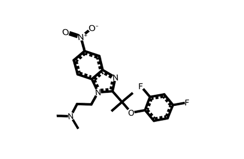 CN(C)CCn1c(C(C)(C)Oc2ccc(F)cc2F)nc2cc([N+](=O)[O-])ccc21